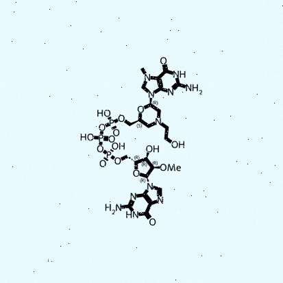 CO[C@@H]1[C@H](O)[C@@H](COP(=O)(O)OP(=O)(O)OP(=O)(O)OC[C@@H]2CN(CCO)C[C@H](N3CN(C)c4c3nc(N)[nH]c4=O)O2)O[C@H]1n1cnc2c(=O)[nH]c(N)nc21